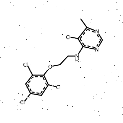 Cc1ncnc(NCCOc2c(Cl)cc(Cl)cc2Cl)c1Cl